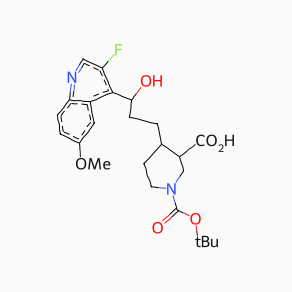 COc1ccc2ncc(F)c(C(O)CCC3CCN(C(=O)OC(C)(C)C)CC3C(=O)O)c2c1